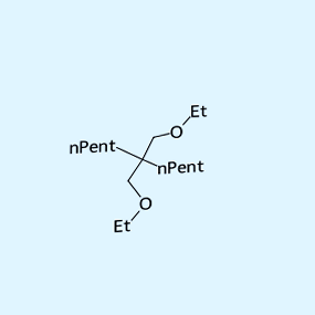 CCCCCC(CCCCC)(COCC)COCC